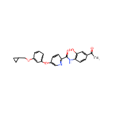 CC(=O)c1ccc(NC(=O)c2ccc(Oc3cccc(OCC4CC4)c3)cn2)c(O)c1